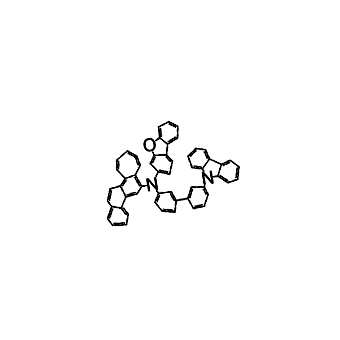 C1=CC=Cc2c(c(N(c3cccc(-c4cccc(-n5c6ccccc6c6ccccc65)c4)c3)c3ccc4c(c3)oc3ccccc34)cc3c2ccc2ccccc23)C=1